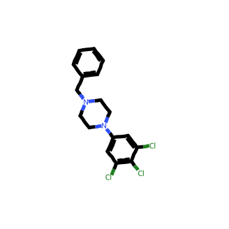 Clc1cc(N2CCN(Cc3ccccc3)CC2)cc(Cl)c1Cl